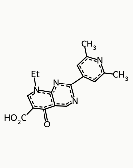 CCn1cc(C(=O)O)c(=O)c2cnc(-c3cc(C)nc(C)c3)nc21